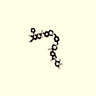 N#Cc1cc2cnc(Nc3ccc4c(c3)CCN(Cc3ccc(CN5CCC(O)(c6ccc7c(c6)CN(C6CCC(=O)NC6=O)C7=O)CC5)cc3)C4)nc2n(C2CCCC2)c1=O